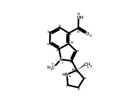 Cn1c([C@@]2(C)CCCN2)cc2c(C(=O)O)cccc21